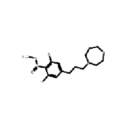 COS(=O)c1c(Cl)cc(CCCN2CCCNCC2)cc1Cl